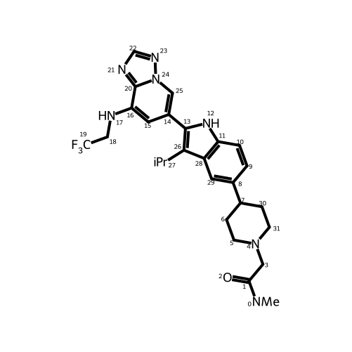 CNC(=O)CN1CCC(c2ccc3[nH]c(-c4cc(NCC(F)(F)F)c5ncnn5c4)c(C(C)C)c3c2)CC1